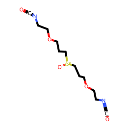 O=C=NCCOCCC[S+]([O-])CCCOCCN=C=O